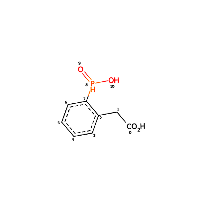 O=C(O)Cc1ccccc1[PH](=O)O